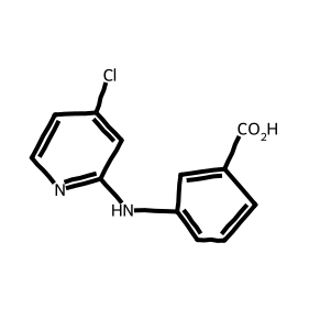 O=C(O)c1cccc(Nc2cc(Cl)ccn2)c1